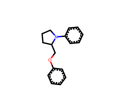 c1ccc(OCC2CCCN2c2ccccc2)cc1